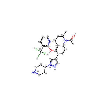 CC(=O)N1c2ccc(-c3cnn(C4CCNCC4)c3)c(Oc3ncccc3C(F)(F)F)c2CCC1C